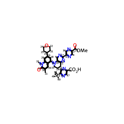 COC(=O)c1cnc(-c2ncc3c(n2)CCCN3c2cc(C3CCOCC3)cc3c2cc(C)c(=O)n3C)cn1.[CH3][Sn]([CH3])([CH3])[c]1cnc(C(=O)O)cn1